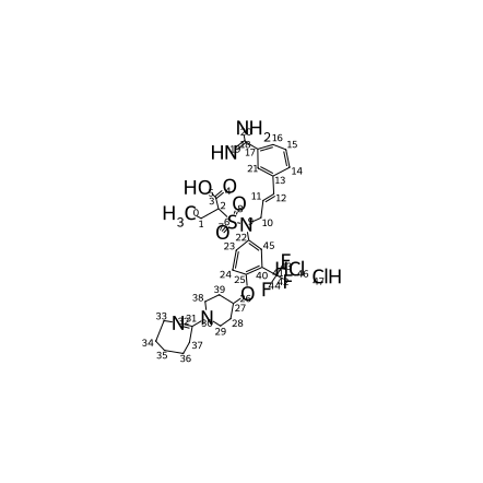 CCC(C(=O)O)S(=O)(=O)N(C/C=C/c1cccc(C(=N)N)c1)c1ccc(OC2CCN(C3=NCCCCC3)CC2)c(C(F)(F)F)c1.Cl.Cl